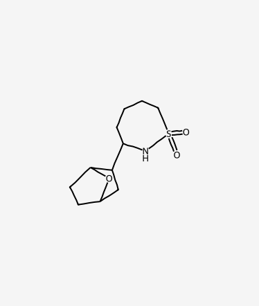 O=S1(=O)CCCCC(C2CC3CCC2O3)N1